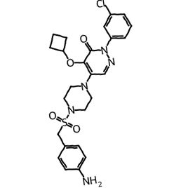 Nc1ccc(CS(=O)(=O)N2CCN(c3cnn(-c4cccc(Cl)c4)c(=O)c3OC3CCC3)CC2)cc1